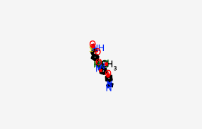 Cl.Cl.Cn1c(COc2ccc(CC3SC(=O)NC3=O)cc2)nc2ccc(Oc3ccc(-n4ccnc4)cc3)cc21